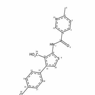 Cc1ccc(C(=O)Nc2scc(-c3ccc(Cl)cc3)c2C(=O)O)cn1